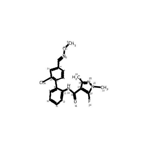 CO/N=C/c1ccc(-c2ccccc2NC(=O)c2c(C)nn(C)c2F)c(Cl)c1